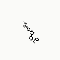 CCN(c1ccccc1)c1cc(-c2cc(C)nc(N3CC4CC3CN4C(=O)OC(C)(C)C)n2)ccn1